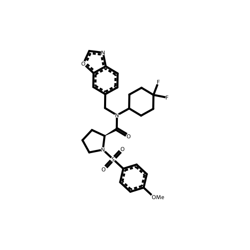 COc1ccc(S(=O)(=O)N2CCC[C@H]2C(=O)N(Cc2ccc3ncoc3c2)C2CCC(F)(F)CC2)cc1